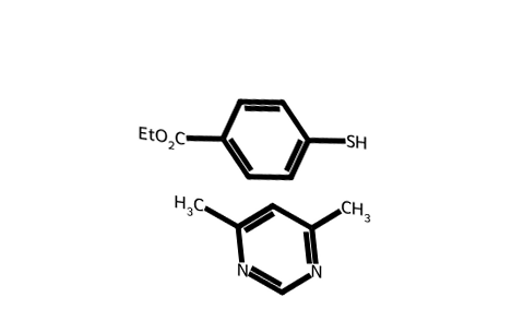 CCOC(=O)c1ccc(S)cc1.Cc1cc(C)ncn1